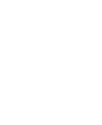 C1=C(c2ccccc2)OCCS1